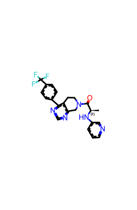 C[C@@H](Nc1cccnc1)C(=O)N1CCc2c(ncnc2-c2ccc(C(F)(F)F)cc2)C1